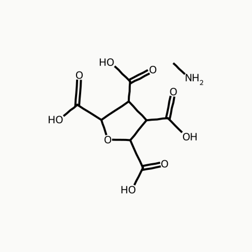 CN.O=C(O)C1OC(C(=O)O)C(C(=O)O)C1C(=O)O